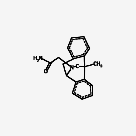 CC12CN(CC(N)=O)C(Cc3ccccc31)c1ccccc12